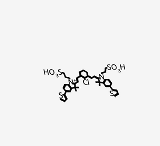 CC1(C)C(/C=C/C2=C(Cl)C(=C/C=C3/N(CCCS(=O)(=O)O)c4ccc(-c5cccs5)cc4C3(C)C)/CCC2)=[N+](CCCS(=O)(=O)O)c2ccc(-c3cccs3)cc21